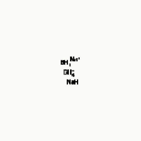 B.[BH4-].[Na+].[NaH]